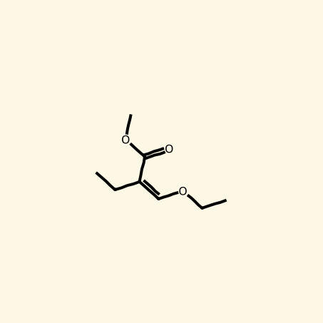 CCOC=C(CC)C(=O)OC